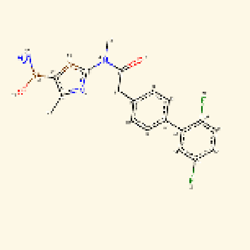 Cc1nc(N(C)C(=O)Cc2ccc(-c3cc(F)ccc3F)cc2)sc1[S+](N)[O-]